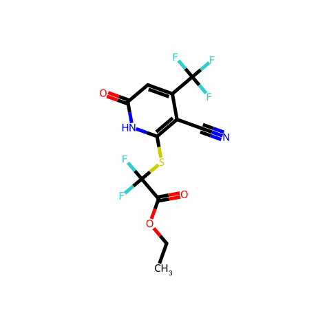 CCOC(=O)C(F)(F)Sc1[nH]c(=O)cc(C(F)(F)F)c1C#N